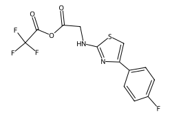 O=C(CNc1nc(-c2ccc(F)cc2)cs1)OC(=O)C(F)(F)F